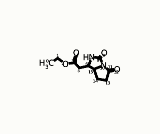 CCOC(=O)CC1NC(=O)N2C(=O)CCC12